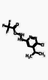 CC(C)c1cc(NNOC(=O)C(F)(F)F)nnc1Cl